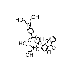 CC(O)(CC(Oc1ccc(Cl)c2c(=O)c3ccccc3sc12)C(=O)N(CCO)CCO)C(=O)c1ccc(N(CCO)CCO)cc1